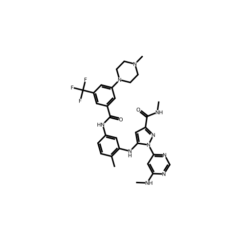 CNC(=O)c1cc(Nc2cc(NC(=O)c3cc(N4CCN(C)CC4)cc(C(F)(F)F)c3)ccc2C)n(-c2cc(NC)ncn2)n1